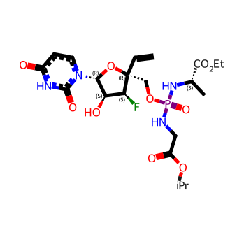 C=C[C@]1(COP(=O)(NCC(=O)OC(C)C)N[C@@H](C)C(=O)OCC)O[C@@H](n2ccc(=O)[nH]c2=O)[C@H](O)[C@@H]1F